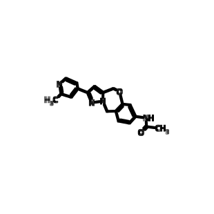 CC(=O)Nc1ccc2c(c1)OCc1cc(-c3ccnc(C)c3)nn1C2